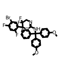 COc1ccc(C(NC2=NCC(F)(F)[C@@](C)(c3cc(Br)c(F)cc3F)O2)(c2ccccc2)c2ccc(OC)cc2)cc1